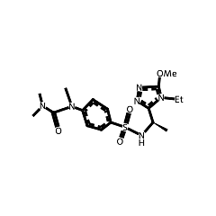 CCn1c(OC)nnc1[C@@H](C)NS(=O)(=O)c1ccc(N(C)C(=O)N(C)C)cc1